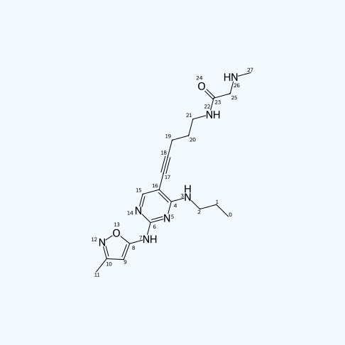 CCCNc1nc(Nc2cc(C)no2)ncc1C#CCCCNC(=O)CNC